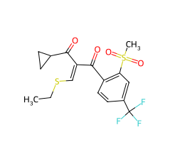 CCSC=C(C(=O)c1ccc(C(F)(F)F)cc1S(C)(=O)=O)C(=O)C1CC1